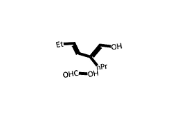 CCC=CC(=CO)CCC.O=CO